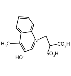 Cc1cc[n+](CC(C(=O)O)S(=O)(=O)O)c2ccccc12.[OH-]